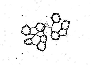 CCc1ccc2cccc3c2c1C1(c2ccccc2-c2ccc(N(c4ccccc4)c4cccc5oc6ccccc6c45)cc21)c1ccccc1-3